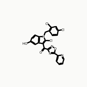 O=C(c1noc(-c2ccccn2)n1)c1c(Cl)n(Cc2ccc(Cl)cc2Cl)c2ccc(O)cc12